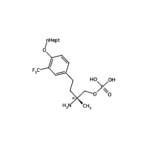 CCCCCCCOc1ccc(CC[C@@](C)(N)COP(=O)(O)O)cc1C(F)(F)F